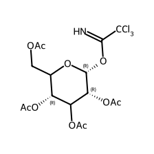 CC(=O)OCC1O[C@H](OC(=N)C(Cl)(Cl)Cl)[C@H](OC(C)=O)C(OC(C)=O)[C@@H]1OC(C)=O